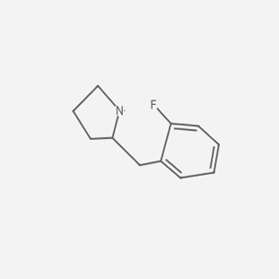 Fc1ccccc1CC1CCC[N]1